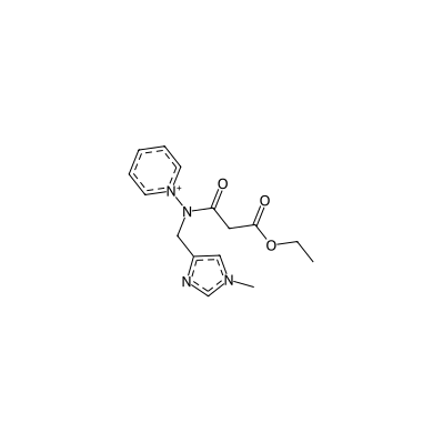 CCOC(=O)CC(=O)N(Cc1cn(C)cn1)[n+]1ccccc1